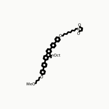 CCCCCCCCC1(C)c2cc(-c3ccc(-c4ccc(OCCCCCCCCN5C(=O)C=CC5=O)cc4)cc3)ccc2-c2ccc(-c3ccc(-c4ccc(OCCCCOC)cc4)cc3)cc21